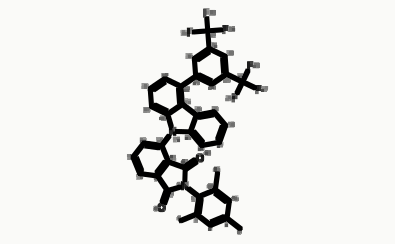 Cc1cc(C)c(N2C(=O)c3cccc(-n4c5ccccc5c5c(-c6cc(C(F)(F)F)cc(C(F)(F)F)c6)cccc54)c3C2=O)c(C)c1